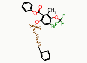 Cc1c(OC(F)(F)F)c(Br)cc(OS(=S)(=S)SSSSCc2ccccc2)c1C(=O)Oc1ccccc1